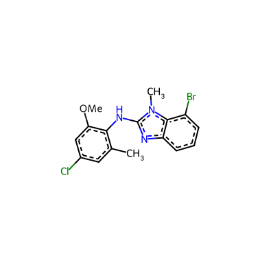 COc1cc(Cl)cc(C)c1Nc1nc2cccc(Br)c2n1C